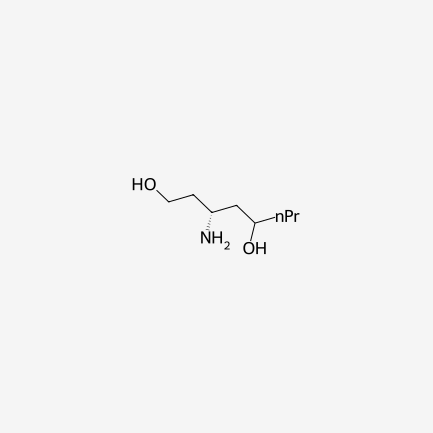 CCCC(O)C[C@H](N)CCO